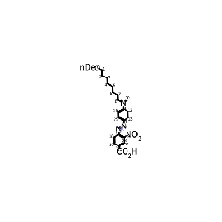 CCCCCCCCCCCCCCCCCCN(C)c1ccc(/N=N/c2ccc(C(=O)O)cc2[N+](=O)[O-])cc1